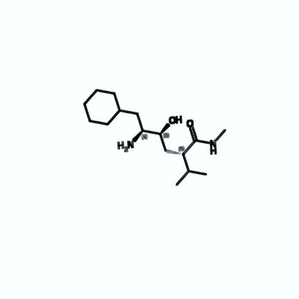 CNC(=O)[C@@H](C[C@H](O)[C@@H](N)CC1CCCCC1)C(C)C